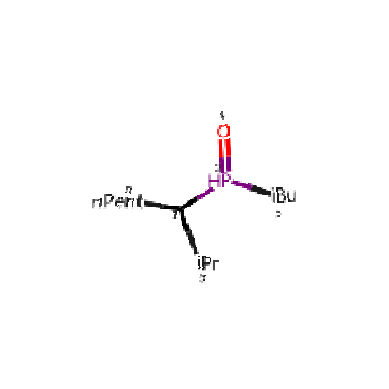 CCCCCC(C(C)C)[PH](=O)C(C)CC